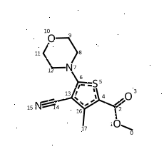 COC(=O)c1sc(N2CCOCC2)c(C#N)c1C